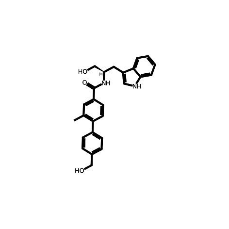 Cc1cc(C(=O)N[C@@H](CO)Cc2c[nH]c3ccccc23)ccc1-c1ccc(CO)cc1